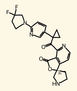 O=C1O[C@]2(CCNC2)c2ccnc(C(=O)C3(c4ccc(N5CCC(F)(F)C5)nc4)CC3)c21